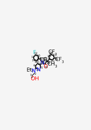 CCN(CCO)c1cc(-c2ccc(F)cc2)c(N(C)C(=O)C(C)(C)c2cc(C(F)(F)F)cc(C(F)(F)F)c2)cn1